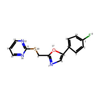 Fc1ccc(-c2cnc(CSc3ncccn3)o2)cc1